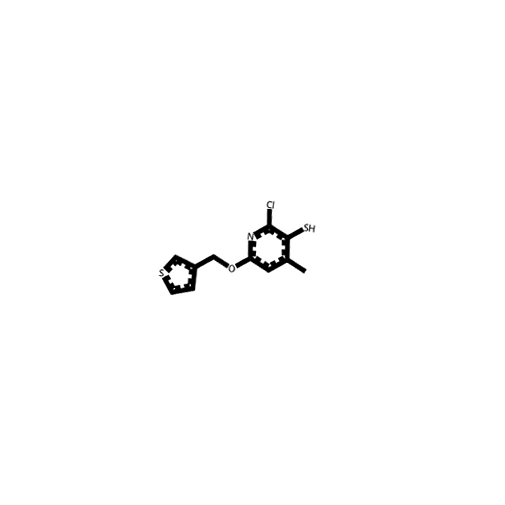 Cc1cc(OCc2ccsc2)nc(Cl)c1S